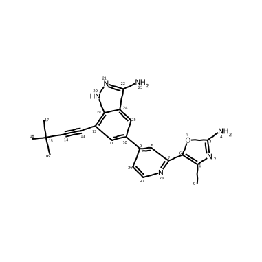 Cc1nc(N)oc1-c1cc(-c2cc(C#CC(C)(C)C)c3[nH]nc(N)c3c2)ccn1